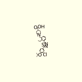 CCc1c(CN2CCC(C(=O)O)CC2)cccc1-c1nnc(-c2ccc(OC(C)C)c(Cl)c2)s1